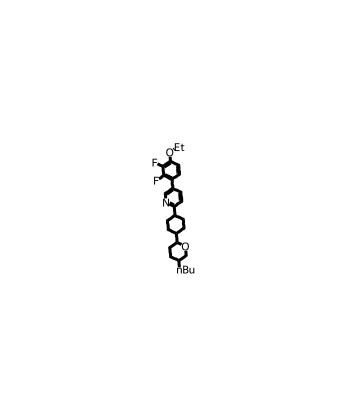 CCCCC1CCC(C2CCC(c3ccc(-c4ccc(OCC)c(F)c4F)cn3)CC2)OC1